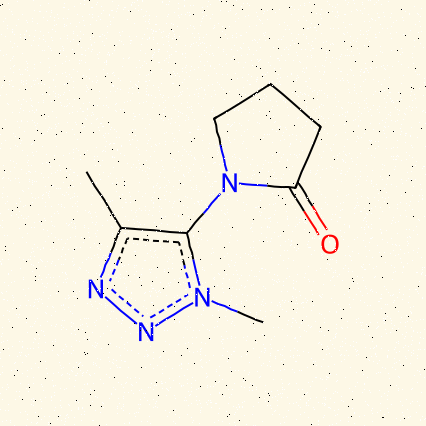 Cc1nnn(C)c1N1CCCC1=O